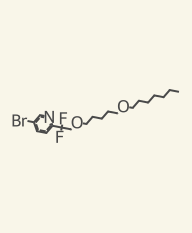 CCCCCCCOCCCCCOCC(F)(F)c1ccc(Br)cn1